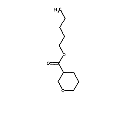 CCCCCOC(=O)C1CCCOC1